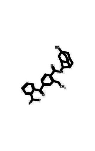 CCc1cc(C(=O)c2ccccc2C(F)F)ccc1C(=O)NC1C2CC3CC1CC(O)(C3)C2